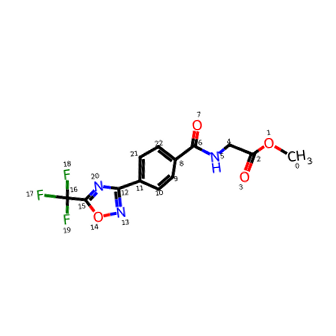 COC(=O)CNC(=O)c1ccc(-c2noc(C(F)(F)F)n2)cc1